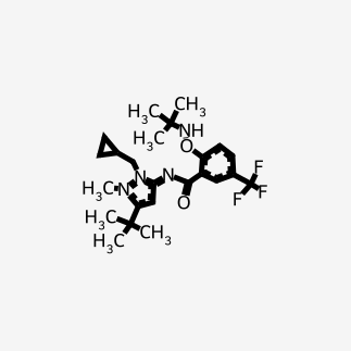 Cn1c(C(C)(C)C)cc(=NC(=O)c2cc(C(F)(F)F)ccc2ONC(C)(C)C)n1CC1CC1